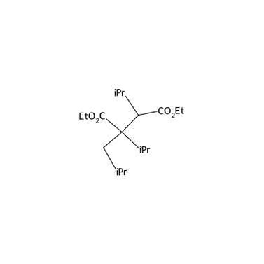 CCOC(=O)C(C(C)C)C(CC(C)C)(C(=O)OCC)C(C)C